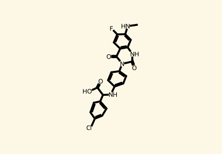 CNc1cc2[nH]c(=O)n(-c3ccc(NC(C(=O)O)c4ccc(Cl)cc4)cc3)c(=O)c2cc1F